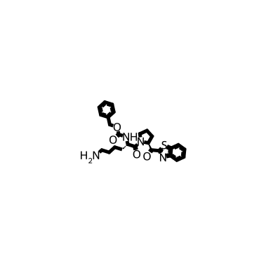 NCCCC[C@H](NC(=O)OCc1ccccc1)C(=O)N1CCC[C@H]1C(=O)c1nc2ccccc2s1